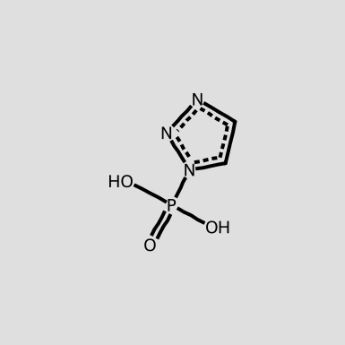 O=P(O)(O)n1ccnn1